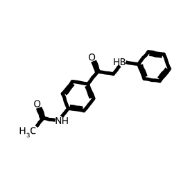 CC(=O)Nc1ccc(C(=O)CBc2ccccc2)cc1